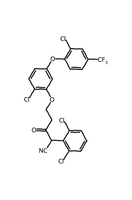 N#CC(C(=O)CCOc1cc(Oc2ccc(C(F)(F)F)cc2Cl)ccc1Cl)c1c(Cl)cccc1Cl